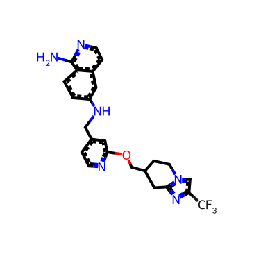 Nc1nccc2cc(NCc3ccnc(OCC4CCn5cc(C(F)(F)F)nc5C4)c3)ccc12